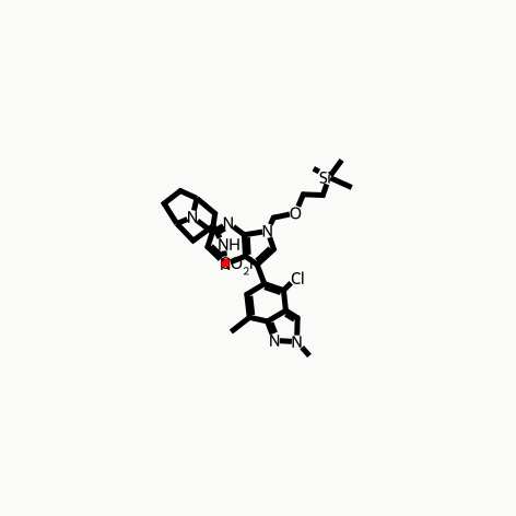 Cc1cc(-c2cn(COCC[Si](C)(C)C)c3nc(N4C5CCC4CC(NC(=O)O)C5)cnc23)c(Cl)c2cn(C)nc12